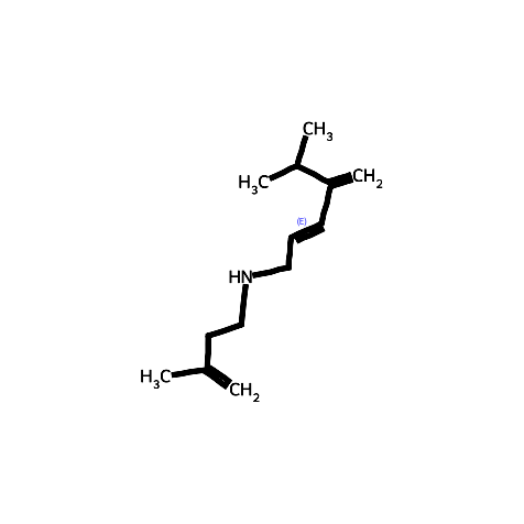 C=C(C)CCNC/C=C/C(=C)C(C)C